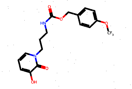 O=C(NCCCn1cccc(O)c1=O)OCc1ccc(OC(F)(F)F)cc1